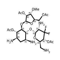 CO[C@H]1[C@@H](OC(C)=O)[C@H](O[C@@H]2[C@@H](OC(C)=O)[C@H](N)C[C@H](N)[C@H]2O[C@H]2O[C@H](CN)[C@@H](OC(C)=O)C(F)(F)[C@H]2N)O[C@@H]1COC(C)=O